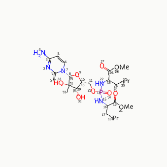 C=C1N=C(N)C=CN1[C@@H]1O[C@H](COP(=O)(NC(CC(C)C)C(=O)OC)NC(CC(C)C)C(=O)OC)[C@H](O)C1(C)O